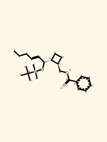 CCC/C=C/C(O[Si](C)(C)C(C)(C)C)[C@@H]1CC[C@H]1COC(=O)c1ccccc1